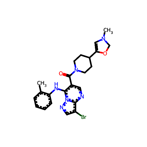 Cc1ccccc1Nc1c(C(=O)N2CCC(C3=CN(C)CO3)CC2)cnc2c(Br)cnn12